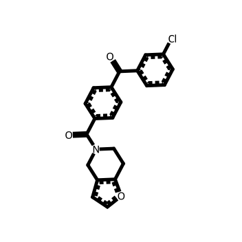 O=C(c1ccc(C(=O)N2CCc3occc3C2)cc1)c1cccc(Cl)c1